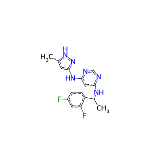 Cc1cc(Nc2cc(NC(C)c3ccc(F)cc3F)ncn2)n[nH]1